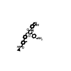 Cc1cc(C(=O)NC2CC2)ccc1-c1ccc(C[C@H](NC(=O)[C@H]2CC[C@H](CN)CC2)C(=O)Nc2ccc3cn[nH]c3c2)cc1